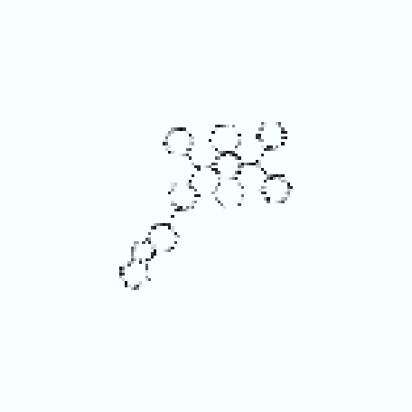 c1ccc(N(c2ccccc2)c2c3c(c(N(c4ccccc4)c4ccc(-c5ccc6c(c5)oc5ccccc56)cc4)c4c2CCCC4)CCCC3)cc1